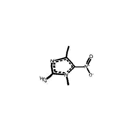 Cc1nc(O)n(C)c1[N+](=O)[O-]